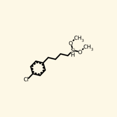 CO[SiH](CCCCc1ccc(Cl)cc1)OC